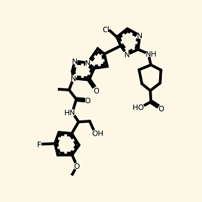 COc1cc(F)cc(C(CO)NC(=O)C(C)n2cnn3cc(-c4nc(NC5CCC(C(=O)O)CC5)ncc4Cl)cc3c2=O)c1